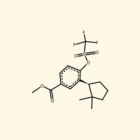 COC(=O)c1ccc(OS(=O)(=O)C(F)(F)F)c([C@H]2CCCC2(C)C)c1